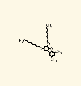 CCCCCCCCOc1cc(OCCCCCCCC)c2oc3c(C)cc(C)cc3c2c1